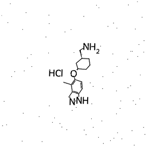 Cc1c(O[C@@H]2CCC[C@H](CN)C2)ccc2[nH]ncc12.Cl